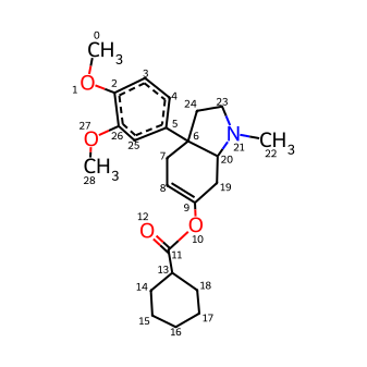 COc1ccc(C23CC=C(OC(=O)C4CCCCC4)CC2N(C)CC3)cc1OC